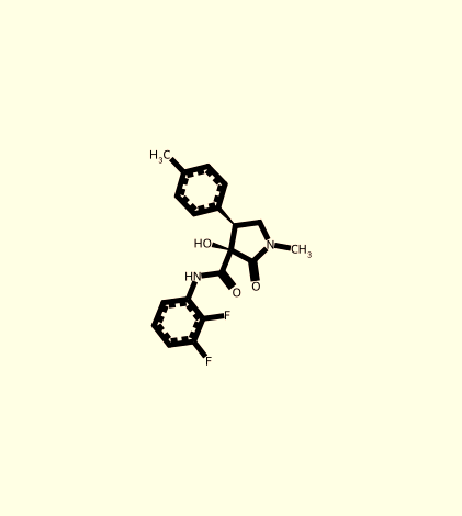 Cc1ccc([C@H]2CN(C)C(=O)[C@]2(O)C(=O)Nc2cccc(F)c2F)cc1